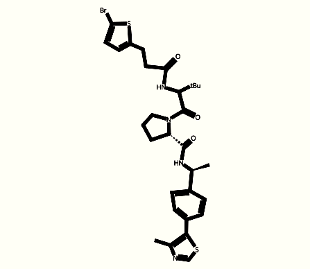 Cc1ncsc1-c1ccc([C@H](C)NC(=O)[C@@H]2CCCN2C(=O)C(NC(=O)CCc2ccc(Br)s2)C(C)(C)C)cc1